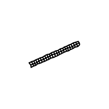 C1C2CC3C4C5C6C7C8C9C%10C%11C%12C%13C%14C%15C%16C%17C%18C%19C%20C%21C%22C%23CC%24CC%25C%26C%27C%28C%29C%30C%31C%32C%33C%34C%35C%36C%37C%38C%39C%40C%41C%42C%43C%44C1C23C%444C%435C%426C%417C%408C%399C%38%10C%37%11C%36%12C%35%13C%34%14C%33%15C%32%16C%31%17C%30%18C%29%19C%28%20C%27%21C%26%22C%24%25%23